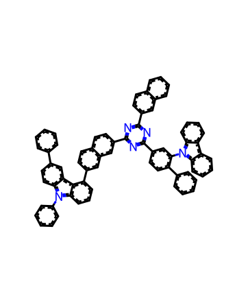 c1ccc(-c2ccc3c(c2)c2c(-c4ccc5ccc(-c6nc(-c7ccc(-c8ccccc8)c(-n8c9ccccc9c9ccccc98)c7)nc(-c7ccc8ccccc8c7)n6)cc5c4)cccc2n3-c2ccccc2)cc1